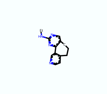 CCNc1ncc2c(n1)-c1cnccc1CCC2